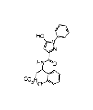 O=C(O)CC(NC(=O)c1cc(O)n(-c2ccccc2)n1)c1ccccc1Cl